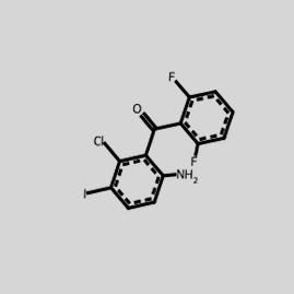 Nc1ccc(I)c(Cl)c1C(=O)c1c(F)cccc1F